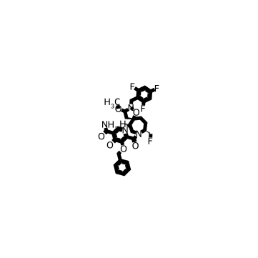 COC1C[C@]2(CC[C@H](CF)N3C[C@H]2n2cc(C(N)=O)c(=O)c(OCc4ccccc4)c2C3=O)ON1Cc1c(F)cc(F)cc1F